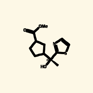 COC(=O)C1CCC([C@@](C)(O)c2nccs2)C1